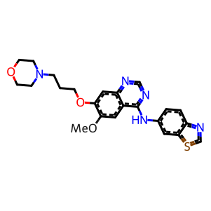 COc1cc2c(Nc3ccc4ncsc4c3)ncnc2cc1OCCCN1CCOCC1